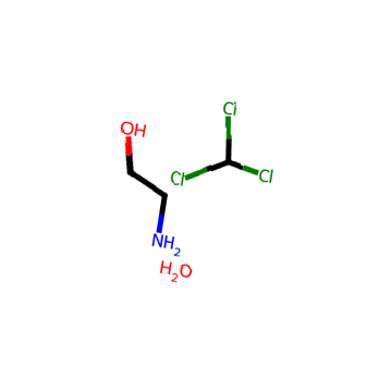 ClC(Cl)Cl.NCCO.O